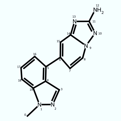 Cn1ncc2c(-c3ccn4nc(N)nc4c3)cccc21